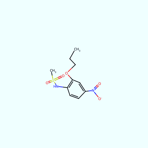 CCCOc1cc([N+](=O)[O-])ccc1NS(C)(=O)=O